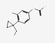 Cl.NC(=O)Nc1ccc(C2(CO)CC2)c(C(F)(F)F)c1